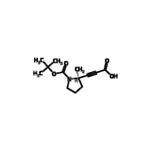 CC(C)(C)OC(=O)N1CCC[C@]1(C)C#CC(=O)O